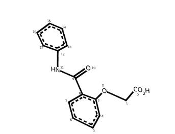 O=C(O)COc1ccccc1C(=O)Nc1ccccc1